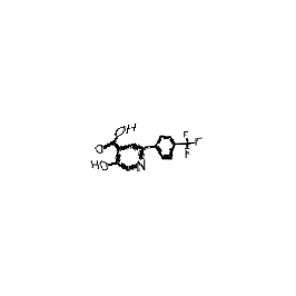 O=C(O)c1cc(-c2ccc(C(F)(F)F)cc2)ncc1O